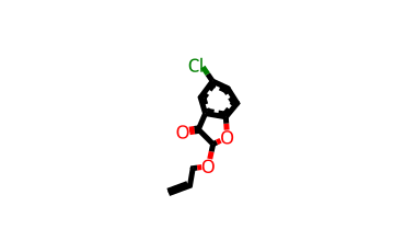 C=CCOC1Oc2ccc(Cl)cc2C1=O